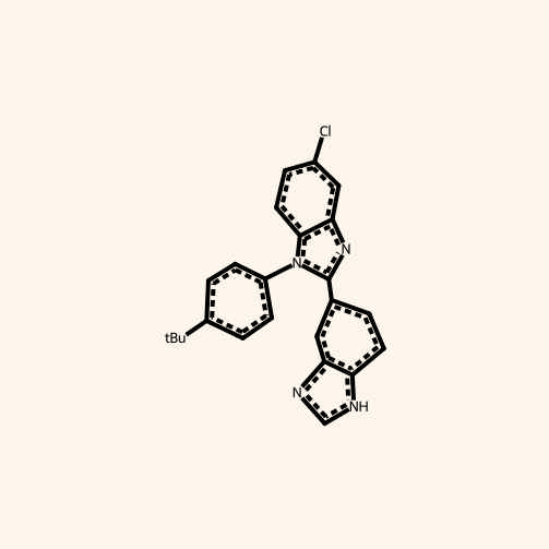 CC(C)(C)c1ccc(-n2c(-c3ccc4[nH]cnc4c3)nc3cc(Cl)ccc32)cc1